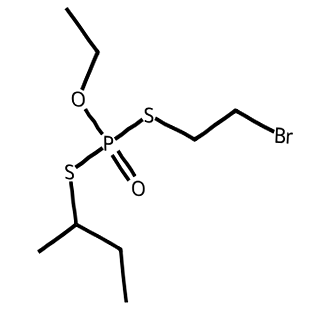 CCOP(=O)(SCCBr)SC(C)CC